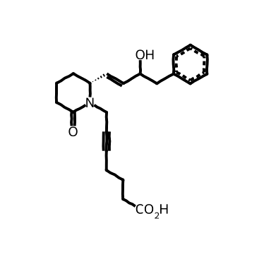 O=C(O)CCCC#CCN1C(=O)CCC[C@@H]1C=CC(O)Cc1ccccc1